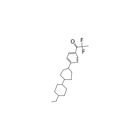 CCC1CCC(C2CCC(c3ccc(C(=O)C(C)(F)F)cc3)CC2)CC1